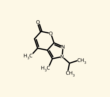 Cc1cc(=O)oc2nn(C(C)C)c(C)c12